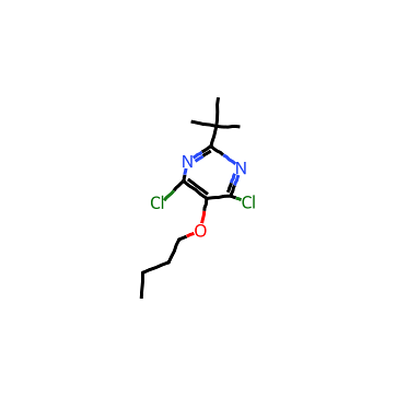 CCCCOc1c(Cl)nc(C(C)(C)C)nc1Cl